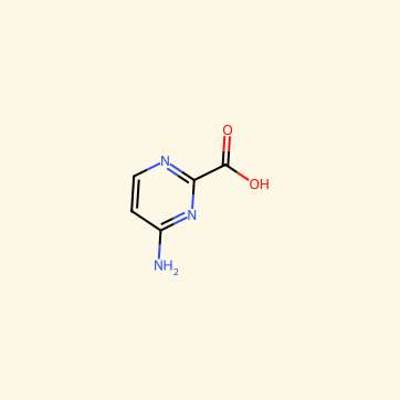 Nc1ccnc(C(=O)O)n1